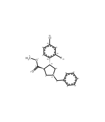 COC(=O)[C@@H]1CN(Cc2ccccc2)C[C@H]1c1ccc(Cl)cc1F